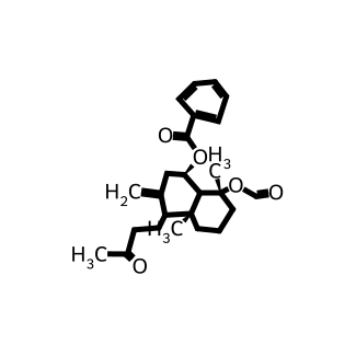 C=C1C[C@@H](OC(=O)c2ccccc2)C2[C@](C)(CCC[C@@]2(C)OC=O)C1CCC(C)=O